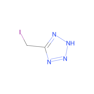 ICc1nn[nH]n1